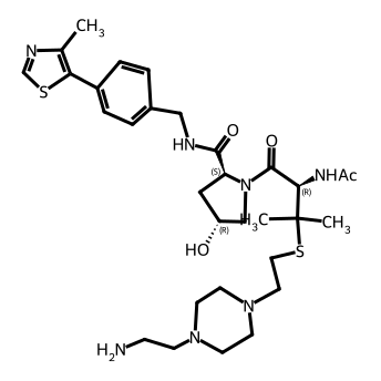 CC(=O)N[C@H](C(=O)N1C[C@H](O)C[C@H]1C(=O)NCc1ccc(-c2scnc2C)cc1)C(C)(C)SCCN1CCN(CCN)CC1